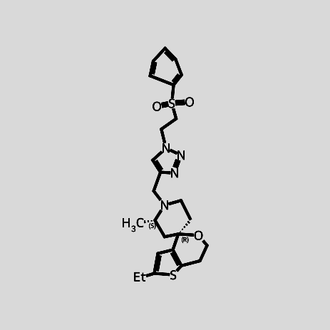 CCc1cc2c(s1)CCO[C@@]21CCN(Cc2cn(CCS(=O)(=O)c3ccccc3)nn2)[C@@H](C)C1